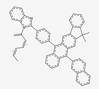 C=C(/C=C\C=C/C)n1c(-c2ccc(-c3c4ccccc4c(-c4ccc5ccccc5c4)c4cc5c(cc34)-c3ccccc3C5(C)C)cc2)nc2ccccc21